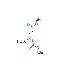 CC(C)(C)OC(=O)CC[C@@H](NC(=O)OC(C)(C)C)C(=O)O